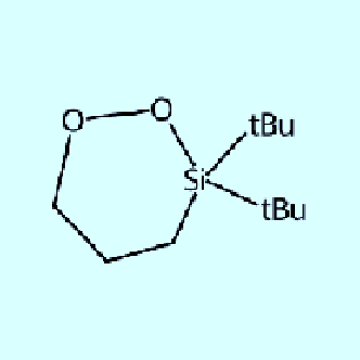 CC(C)(C)[Si]1(C(C)(C)C)CCCOO1